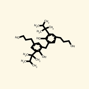 CC(C)C(C)(C)c1cc(CCCO)cc(Cc2cc(CCCO)cc(C(C)(C)C(C)C)c2O)c1O